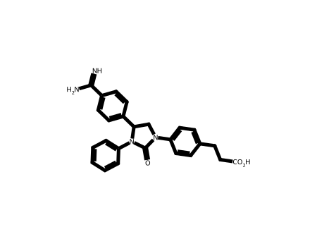 N=C(N)c1ccc(C2CN(c3ccc(CCC(=O)O)cc3)C(=O)N2c2ccccc2)cc1